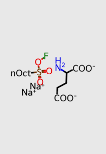 CCCCCCCCS(=O)(=O)OF.NC(CCC(=O)[O-])C(=O)[O-].[Na+].[Na+]